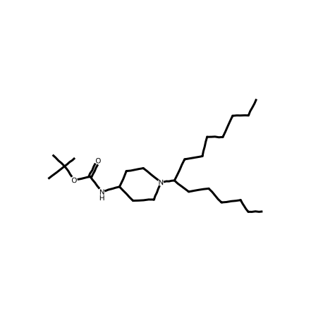 CCCCCCCC(CCCCCC)N1CCC(NC(=O)OC(C)(C)C)CC1